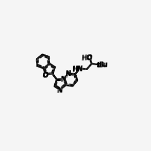 CC(C)(C)C(O)CNc1ccc2ncc(-c3cc4ccccc4o3)n2n1